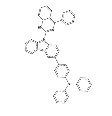 C1=CC2=C(c3ccccc3)N=C(n3c4ccccc4c4cc(-c5ccc(N(c6ccccc6)c6ccccc6)cc5)ccc43)NC2C=C1